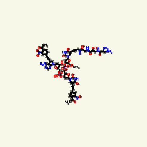 COC[C@H]1O[C@@H](n2cc(C#CCNC(=O)CNC(=O)C(O)CNC(=O)C(N)CN)c(=O)[nH]c2=O)C[C@@H]1OP(=O)(O)OC[C@H]1O[C@@H](n2cc(C#Cc3ccc(C(C)=O)c(N=O)c3)c(=O)[nH]c2=O)C[C@@H]1OP(=O)(O)OC[C@H]1O[C@@H](n2cc(C#Cc3ccc(C(C)=O)c([N+](=O)[O-])c3)c3c(N)ncnc32)C[C@@H]1O